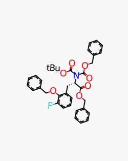 CC(C)(C)OC(=O)N(C(=O)OCc1ccccc1)[C@@H](Cc1cccc(F)c1OCc1ccccc1)C(=O)OCc1ccccc1